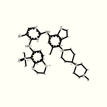 Cc1cc(Nc2ncc(Br)c(Nc3ccc4c(c3P(C)(C)=O)OCCO4)n2)c2c(c1N1CCC(N3CCN(C)CC3)CC1)CCO2